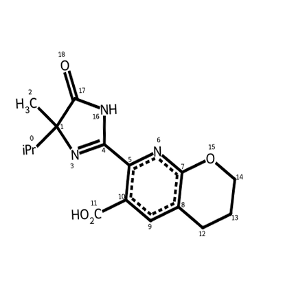 CC(C)C1(C)N=C(c2nc3c(cc2C(=O)O)CCCO3)NC1=O